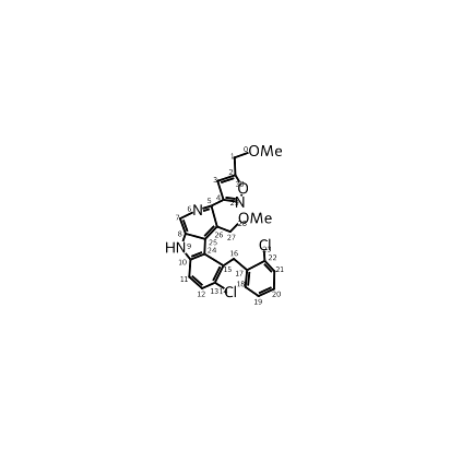 COCc1cc(-c2ncc3[nH]c4ccc(Cl)c(Cc5ccccc5Cl)c4c3c2COC)no1